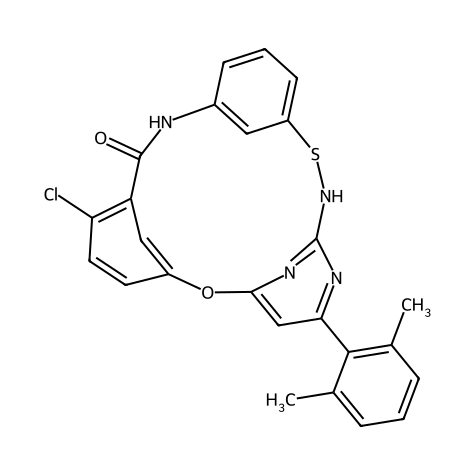 Cc1cccc(C)c1-c1cc2nc(n1)NSc1cccc(c1)NC(=O)c1cc(ccc1Cl)O2